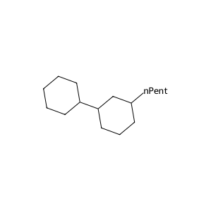 CCCCCC1CCCC(C2CCCCC2)C1